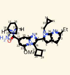 CCc1ccc2cc(-c3nc4cc(C(=O)N5[C@H]6CC[C@@H]5[C@H](N)C6)cc(OC)n4c3C3CCC3)n(CC3CC3)c2n1